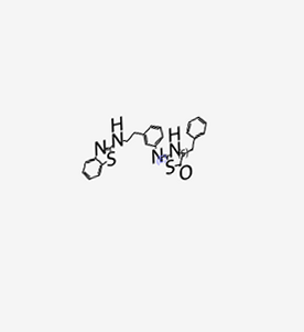 O=C1S/C(=N/c2cccc(CCNc3nc4ccccc4s3)c2)N[C@H]1Cc1ccccc1